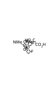 CNCc1cn(S(=O)(=O)c2cccc(F)c2)c(-c2ccc(F)cc2F)c1OC.O=C(O)CCC(=O)O